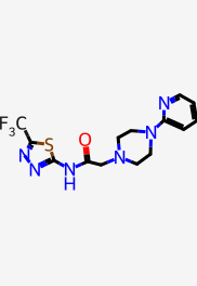 O=C(CN1CCN(c2ccccn2)CC1)Nc1nnc(C(F)(F)F)s1